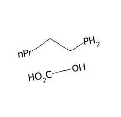 CCCCCP.O=C(O)O